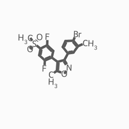 Cc1cc(-c2noc(C)c2-c2cc(F)c(S(C)(=O)=O)cc2F)ccc1Br